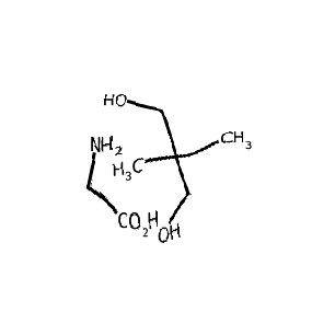 CC(C)(CO)CO.NCC(=O)O